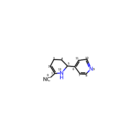 N#CC1=CCCC(c2ccncc2)N1